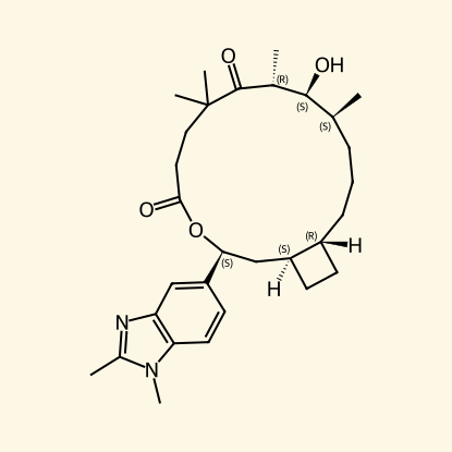 Cc1nc2cc([C@@H]3C[C@@H]4CC[C@H]4CCC[C@H](C)[C@H](O)[C@@H](C)C(=O)C(C)(C)CCC(=O)O3)ccc2n1C